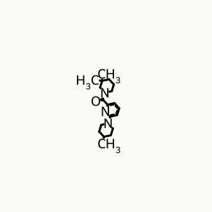 CC1CCN(c2cccc(C(=O)N3CCCC(C)(C)C3)n2)CC1